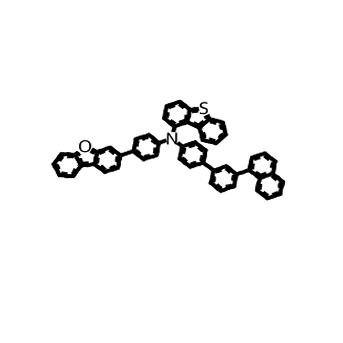 c1cc(-c2ccc(N(c3ccc(-c4ccc5c(c4)oc4ccccc45)cc3)c3cccc4sc5ccccc5c34)cc2)cc(-c2cccc3ccccc23)c1